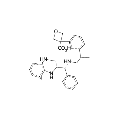 CC(CN[C@H](c1ccccc1)[C@H]1CNc2cccnc2N1)c1cccc(C2(C(=O)O)COC2)c1